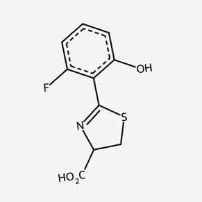 O=C(O)C1CSC(c2c(O)cccc2F)=N1